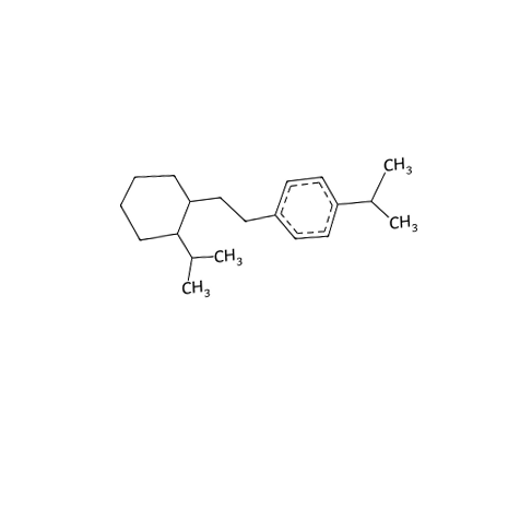 CC(C)c1ccc(CCC2CCCCC2C(C)C)cc1